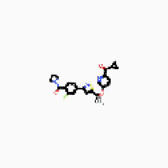 C[C@@H](Oc1ccc(C(=O)C2CC2)nc1)c1cc(-c2ccc(C(=O)N3CCC3)c(F)c2)ns1